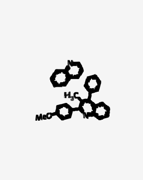 COc1ccc(-c2nc3ccccc3c(-c3ccccc3)c2C)cc1.c1ccc2ncccc2c1